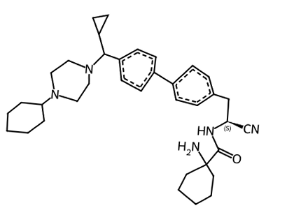 N#C[C@H](Cc1ccc(-c2ccc(C(C3CC3)N3CCN(C4CCCCC4)CC3)cc2)cc1)NC(=O)C1(N)CCCCC1